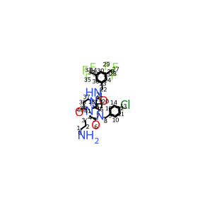 NCCC[C@H]1C(=O)N(Cc2ccc(Cl)cc2)C[C@@H]2N(C(=O)NCc3cc(C(F)(F)F)cc(C(F)(F)F)c3)CCC(=O)N21